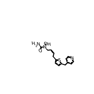 NC(=O)N(O)C/C=C\Cc1ccc(Cc2ccncc2)s1